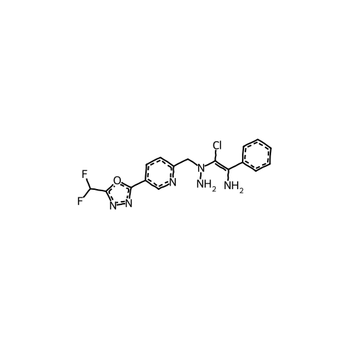 N/C(=C(/Cl)N(N)Cc1ccc(-c2nnc(C(F)F)o2)cn1)c1ccccc1